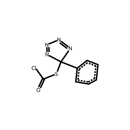 O=C(Cl)SC1(c2ccccc2)N=NN=N1